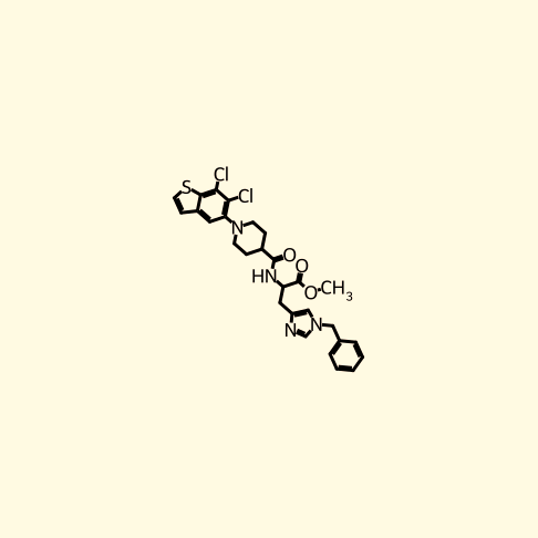 COC(=O)C(Cc1cn(Cc2ccccc2)cn1)NC(=O)C1CCN(c2cc3ccsc3c(Cl)c2Cl)CC1